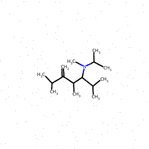 C=C(C(C)C)C(C)C(C(C)C)N(C)C(C)C